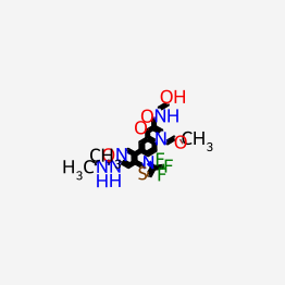 COCCn1cc(C(=O)NCCO)c(=O)c2cc(-c3cnc(NC(=O)NC(C)C)cc3-c3nc(C(F)(F)F)cs3)ccc21